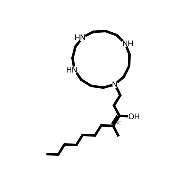 CCCCCCC/C(C)=C(/O)CCN1CCCNCCCNCCNCCC1